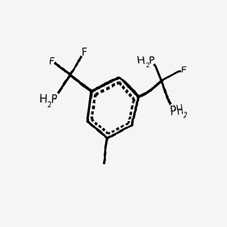 Cc1cc(C(F)(F)P)cc(C(F)(P)P)c1